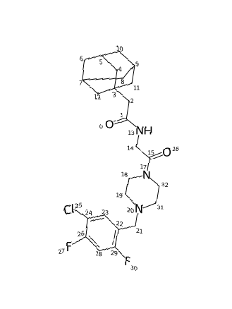 O=C(CC12CC3CC(CC(C3)C1)C2)NCC(=O)N1CCN(Cc2cc(Cl)c(F)cc2F)CC1